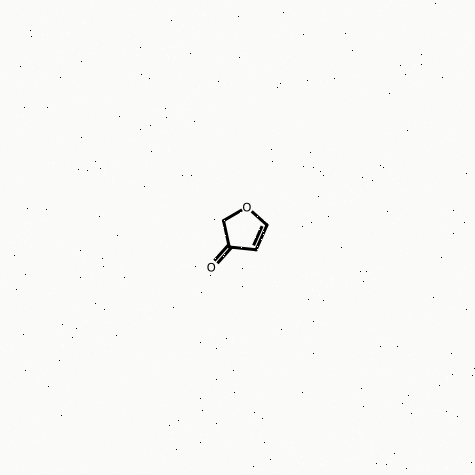 O=C1C=COC1